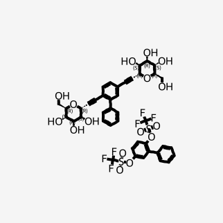 O=S(=O)(Oc1ccc(OS(=O)(=O)C(F)(F)F)c(-c2ccccc2)c1)C(F)(F)F.OC[C@H]1O[C@H](C#Cc2ccc(C#C[C@H]3O[C@H](CO)[C@@H](O)[C@H](O)[C@@H]3O)c(-c3ccccc3)c2)[C@@H](O)[C@@H](O)[C@@H]1O